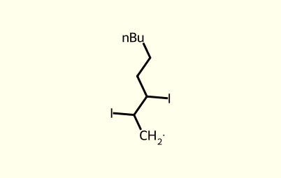 [CH2]C(I)C(I)CCCCCC